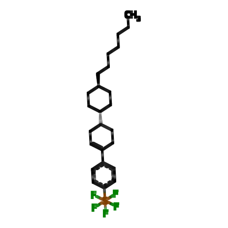 CCCCCCC[C@H]1CC[C@H](C2CC=C(c3ccc(S(F)(F)(F)(F)F)cc3)CC2)CC1